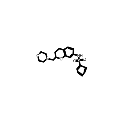 O=S(=O)(Nc1ccc2c(c1)OC(CN1CCOCC1)CC2)c1ccccc1